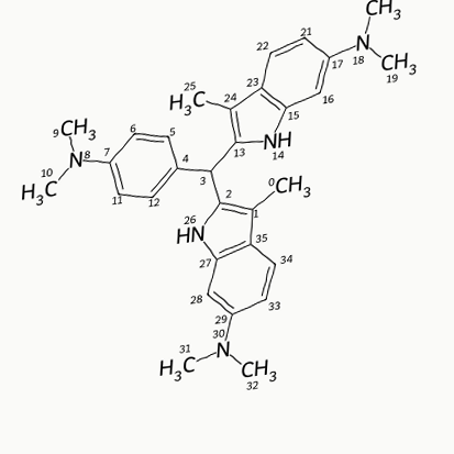 Cc1c(C(c2ccc(N(C)C)cc2)c2[nH]c3cc(N(C)C)ccc3c2C)[nH]c2cc(N(C)C)ccc12